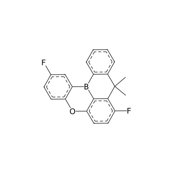 CC1(C)c2ccccc2B2c3cc(F)ccc3Oc3ccc(F)c1c32